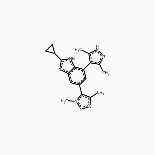 Cc1n[nH]c(C)c1-c1cc(-c2c(C)nnn2C)cc2nc(C3CC3)[nH]c12